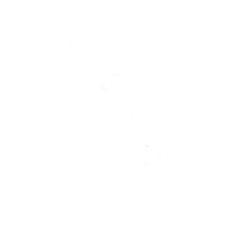 C#Cc1ccc(C(=O)Nc2ccc3c(c2)Cc2cc(NC(=O)c4ccc(C#C)cc4C(=O)O)ccc2-3)c(C(=O)O)c1